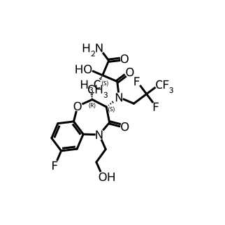 C[C@H]1Oc2ccc(F)cc2N(CCO)C(=O)[C@H]1N(CC(F)(F)C(F)(F)F)C(=O)[C@@](C)(O)C(N)=O